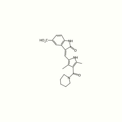 Cc1[nH]c(/C=C2\C(=O)Nc3ccc(C(=O)O)cc32)c(C)c1C(=O)N1CCCCC1